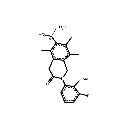 COc1c(F)cccc1N1Cc2c(C)c(I)c([C@H](O)C(=O)O)c(C)c2CC1=O